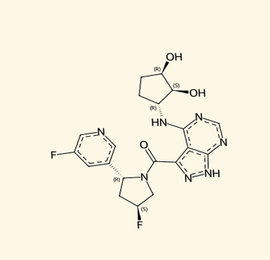 O=C(c1n[nH]c2ncnc(N[C@@H]3CC[C@@H](O)[C@H]3O)c12)N1C[C@@H](F)C[C@@H]1c1cncc(F)c1